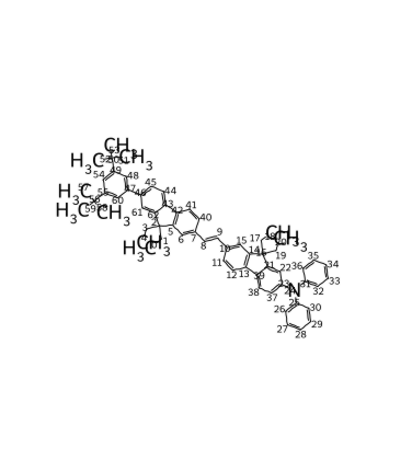 CCC1(CC)c2cc(/C=C/c3ccc4c(c3)C(CC)(CC)c3cc(N(c5ccccc5)c5ccccc5)ccc3-4)ccc2-c2ccc(-c3cc(C(C)(C)C)cc(C(C)(C)C)c3)cc21